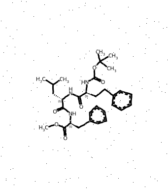 COC(=O)[C@H](Cc1ccccc1)NC(=O)[C@H](CC(C)C)NC(=O)[C@H](CCc1ccccc1)NC(=O)OC(C)(C)C